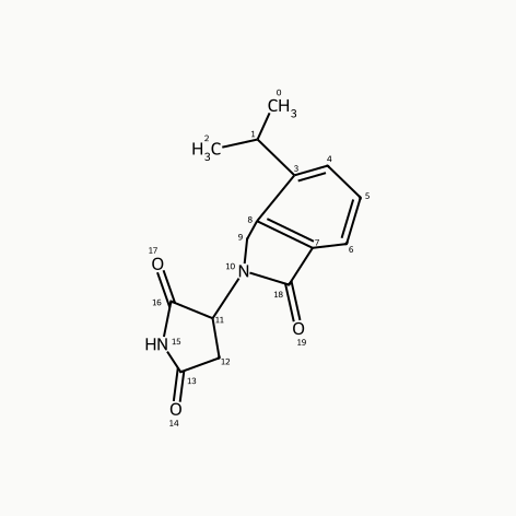 CC(C)c1cccc2c1CN(C1CC(=O)NC1=O)C2=O